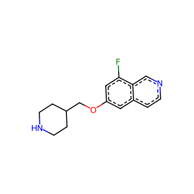 Fc1cc(OCC2CCNCC2)cc2ccncc12